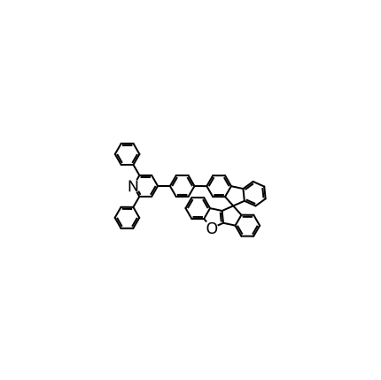 c1ccc(-c2cc(-c3ccc(-c4ccc5c(c4)C4(c6ccccc6-5)c5ccccc5-c5oc6ccccc6c54)cc3)cc(-c3ccccc3)n2)cc1